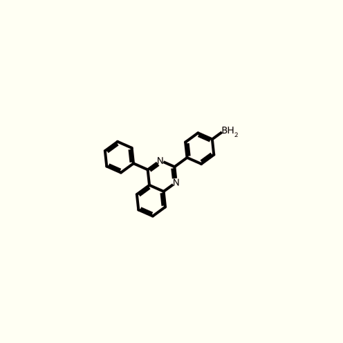 Bc1ccc(-c2nc(-c3ccccc3)c3ccccc3n2)cc1